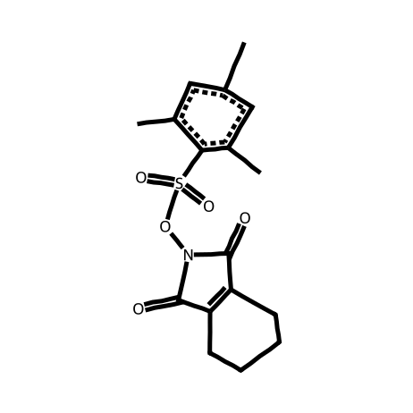 Cc1cc(C)c(S(=O)(=O)ON2C(=O)C3=C(CCCC3)C2=O)c(C)c1